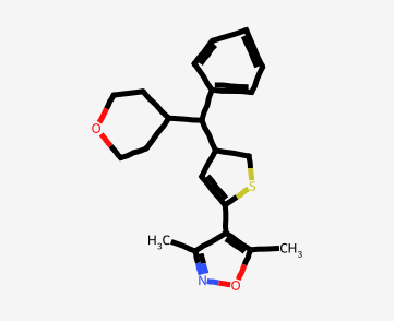 Cc1noc(C)c1C1=CC(C(c2ccccc2)C2CCOCC2)CS1